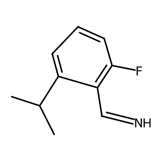 CC(C)c1cccc(F)c1C=N